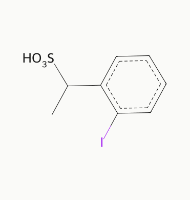 CC(c1ccccc1I)S(=O)(=O)O